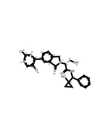 O=C(NC(c1ccccc1)C1(O)CC1)[C@@H](CO)N1Cc2ccc(-c3nc(Cl)ncc3Cl)cc2C1=O